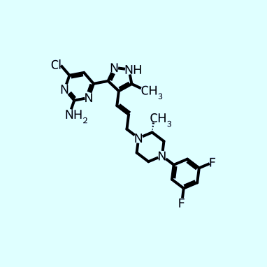 Cc1[nH]nc(-c2cc(Cl)nc(N)n2)c1C=CCN1CCN(c2cc(F)cc(F)c2)C[C@H]1C